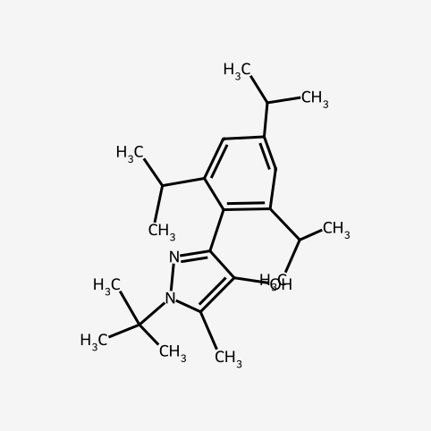 Cc1c(O)c(-c2c(C(C)C)cc(C(C)C)cc2C(C)C)nn1C(C)(C)C